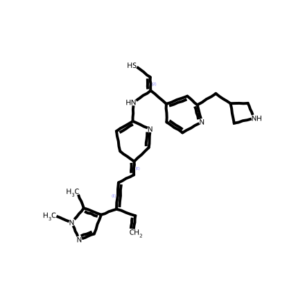 C=C/C(=C\C=C1\C=NC(N/C(=C\S)c2ccnc(CC3CNC3)c2)=CC1)c1cnn(C)c1C